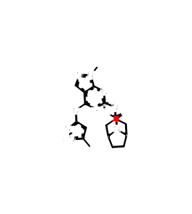 Cc1cc(Nc2nc(NC3CC4CCC(C3)N4C(=O)OC(C)(C)C)nc3c2cnn3C)n[nH]1